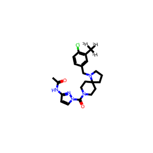 [2H]C([2H])([2H])c1cc(CN2CCCC23CCN(C(=O)n2ccc(NC(C)=O)n2)CC3)ccc1Cl